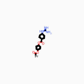 CC(C)C(=O)Oc1ccc(OC(=O)c2ccc(NC(=N)N)cc2)cc1